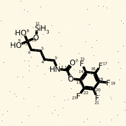 O=C(NCCCCC(O)(O)O[SiH3])Oc1c(F)c(F)c(F)c(F)c1F